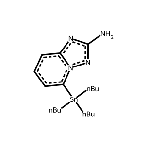 CCC[CH2][Sn]([CH2]CCC)([CH2]CCC)[c]1cccc2nc(N)nn12